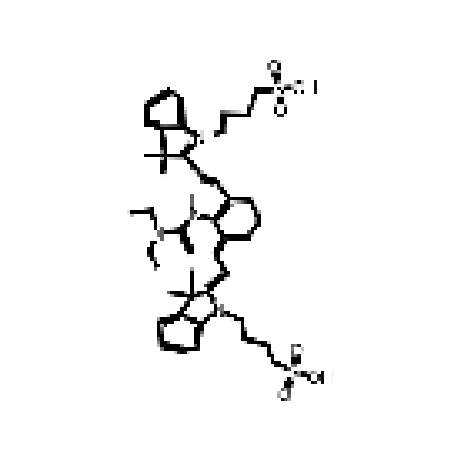 C=C(NC1=C(/C=C/C2=[N+](CCCCS(=O)(=O)O)c3ccccc3C2(C)C)CCC/C1=C\C=C1\N(CCCCS(=O)(=O)O)c2ccccc2C1(C)C)N(CC)CC